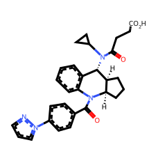 O=C(O)CCC(=O)N(C1CC1)[C@H]1c2ccccc2N(C(=O)c2ccc(-n3cccn3)cc2)[C@@H]2CCC[C@@H]21